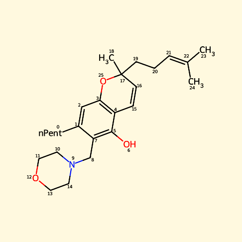 CCCCCc1cc2c(c(O)c1CN1CCOCC1)C=CC(C)(CCC=C(C)C)O2